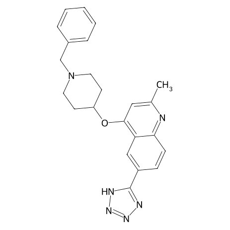 Cc1cc(OC2CCN(Cc3ccccc3)CC2)c2cc(-c3nnn[nH]3)ccc2n1